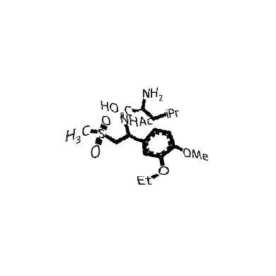 CC(C)C[C@H](N)C(=O)O.CCOc1cc(C(CS(C)(=O)=O)NC(C)=O)ccc1OC